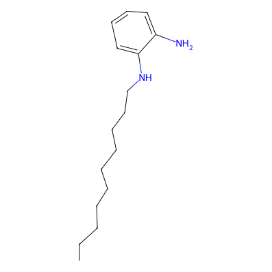 CCCCCCCCCCNc1ccccc1N